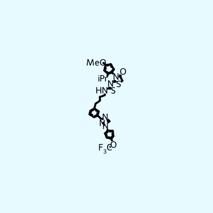 COc1ccc(N2C(=O)CS/C2=N\C(=S)NCCCCc2cccc(-c3ncn(-c4ccc(OC(F)(F)F)cc4)n3)c2)c(C(C)C)c1